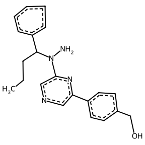 CCCC(c1ccccc1)N(N)c1cncc(-c2ccc(CO)cc2)n1